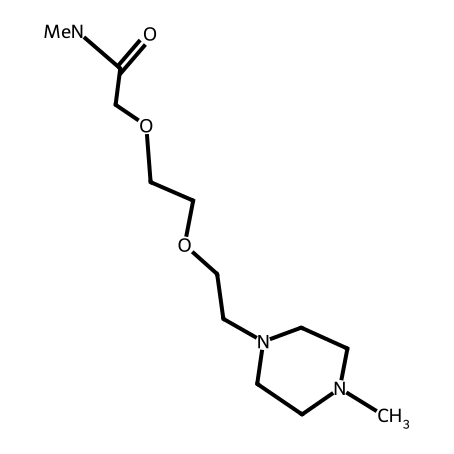 CNC(=O)COCCOCCN1CCN(C)CC1